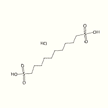 Cl.O=S(=O)(O)CCCCCCCCCCS(=O)(=O)O